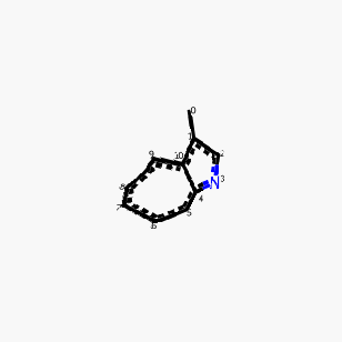 Cc1cnc2cccccc1-2